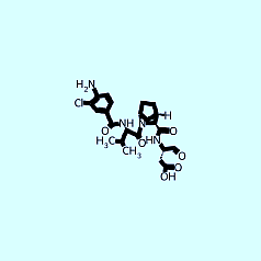 CC(C)[C@H](NC(=O)c1ccc(N)c(Cl)c1)C(=O)N1C2CC[C@@H](C2)[C@H]1C(=O)N[C@H](C=O)CC(=O)O